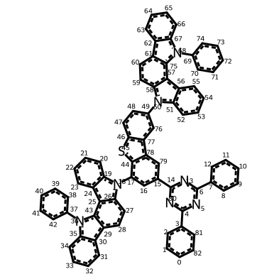 c1ccc(-c2nc(-c3ccccc3)nc(-c3cc(-n4c5ccccc5c5c4ccc4c6ccccc6n(-c6ccccc6)c45)c4sc5ccc(-n6c7ccccc7c7c6ccc6c8ccccc8n(-c8ccccc8)c67)cc5c4c3)n2)cc1